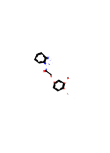 COc1ccc(OCC(=O)n2nnc3ccccc32)cc1OC